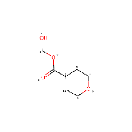 O=C(OCO)C1CCOCC1